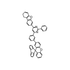 C1=Cc2oc3cc(-c4cc(-c5cccc(-c6ccc7c(c6)C6(c8ccccc8O7)c7ccccc7-c7ccccc76)c5)nc(-c5ccccc5)n4)ccc3c2CC1